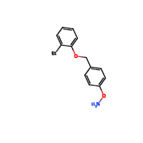 CCc1ccccc1OCc1ccc(ON)cc1